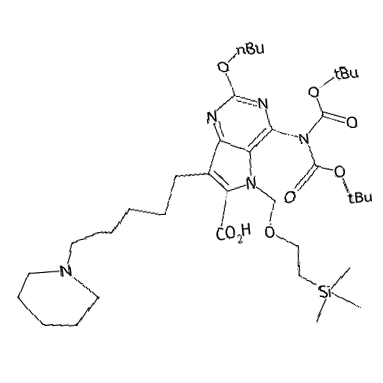 CCCCOc1nc(N(C(=O)OC(C)(C)C)C(=O)OC(C)(C)C)c2c(n1)c(CCCCCN1CCCCC1)c(C(=O)O)n2COCC[Si](C)(C)C